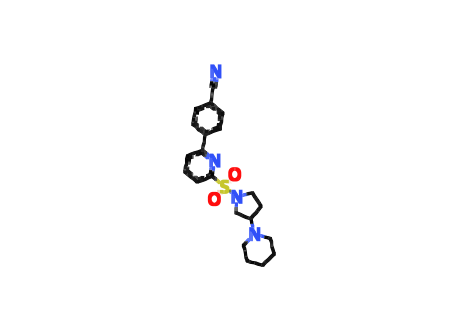 N#Cc1ccc(-c2cccc(S(=O)(=O)N3CCC(N4CCCCC4)C3)n2)cc1